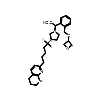 O=C(O)C(c1ccccc1COC1COC1)N1CC[C@@H](C(F)(F)CCCCc2ccc3c(n2)NCCC3)C1